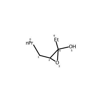 CCCCC1OC1(O)CC